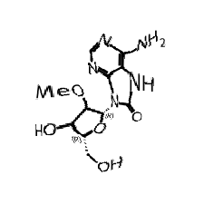 COC1C(O)[C@@H](CO)O[C@H]1n1c(=O)[nH]c2c(N)ncnc21